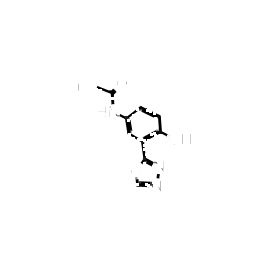 CC(C)C(=O)Nc1ccc(O)c(-c2nnco2)c1